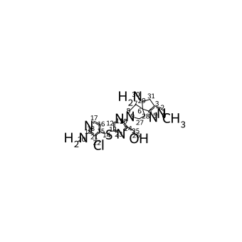 Cn1cc2c(n1)C1(CCN(c3ncc(Sc4ccnc(N)c4Cl)nc3CO)CC1)[C@H](N)C2